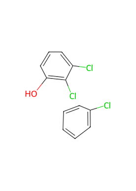 Clc1ccccc1.Oc1cccc(Cl)c1Cl